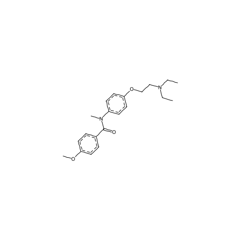 CCN(CC)CCOc1ccc(N(C)C(=O)c2ccc(OC)cc2)cc1